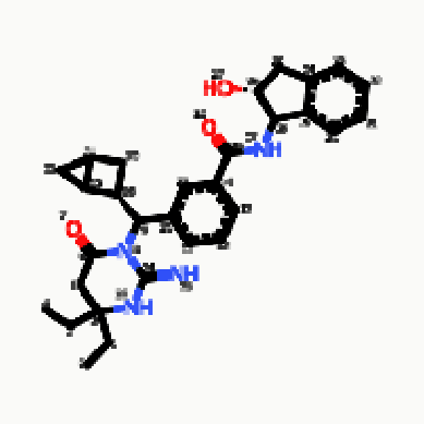 CCC1(CC)CC(=O)N(C(c2cccc(C(=O)NC3c4ccccc4C[C@H]3O)c2)[C@@H]2CC3CC32)C(=N)N1